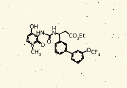 CCOC(=O)C[C@H](NC(=O)Nc1c(O)ccn(C)c1=O)c1cccc(-c2cccc(OC(F)(F)F)c2)c1